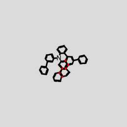 c1ccc(-c2cc(-c3ccccc3)cc(-c3ccccc3N(c3cccc(-c4ccccc4)c3)c3cccc(-c4ccccc4)c3)c2)cc1